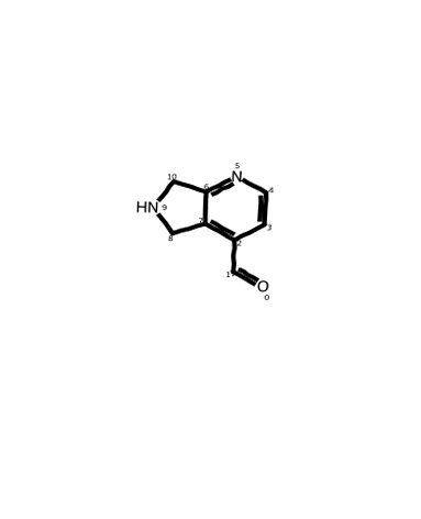 O=[C]c1ccnc2c1CNC2